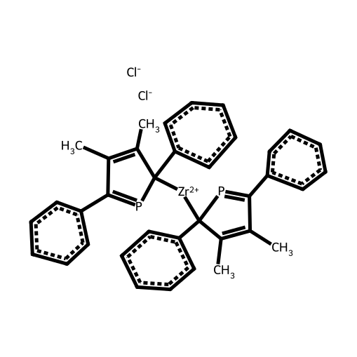 CC1=C(C)[C]([Zr+2][C]2(c3ccccc3)P=C(c3ccccc3)C(C)=C2C)(c2ccccc2)P=C1c1ccccc1.[Cl-].[Cl-]